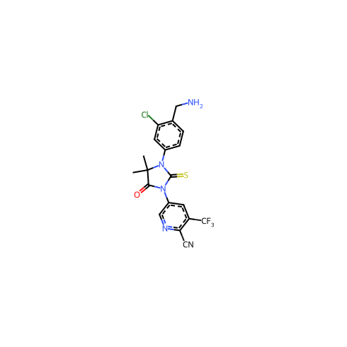 CC1(C)C(=O)N(c2cnc(C#N)c(C(F)(F)F)c2)C(=S)N1c1ccc(CN)c(Cl)c1